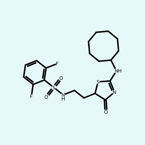 O=C1N=C(NC2CCCCCCC2)SC1CCNS(=O)(=O)c1c(F)cccc1F